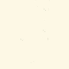 CCC(/C(C)=C/C#N)(c1ccc(Cl)cc1)n1ccc2c(NS(C)(=O)=O)cccc21